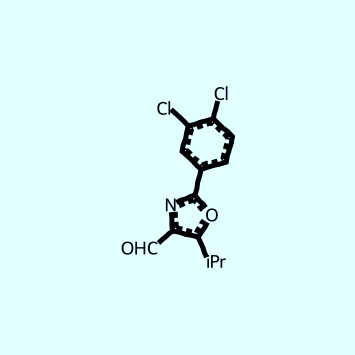 CC(C)c1oc(-c2ccc(Cl)c(Cl)c2)nc1C=O